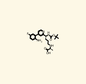 C[C@H](NCCC[C@H](NC(=O)OC(C)(C)C)c1cc(-c2cc(F)ccc2N)ccn1)C(=O)O